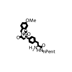 CCCCCNC(=O)[C@@H](N)Cc1ccc(N2CC(=O)N(Cc3ccc(OC)cc3)S2(=O)=O)cc1